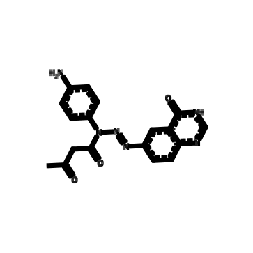 CC(=O)CC(=O)N(N=Nc1ccc2nc[nH]c(=O)c2c1)c1ccc(N)cc1